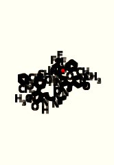 Cc1cccc(C)c1Oc1cn(C)c(=O)cc1-c1cn(C)c(=O)c2[nH]c(-c3ncc(Cn4cc(-c5cc(=O)n(C)cc5Oc5c(C)cccc5C)c5cc(-c6ncc(C(F)(F)F)[nH]6)[nH]c5c4=O)[nH]3)cc12